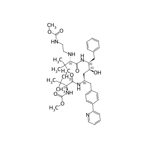 COC(=O)NCCN[C@H](C(=O)N[C@@H](Cc1ccccc1)[C@@H](O)C[C@@H](Cc1ccc(-c2ccccn2)cc1)NC(=O)[C@@H](NC(=O)OC)C(C)(C)C)C(C)(C)C